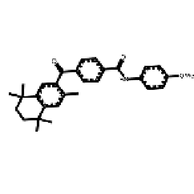 COc1ccc(NC(=O)c2ccc(C(=O)c3cc4c(cc3C)C(C)(C)CCC4(C)C)cc2)cc1